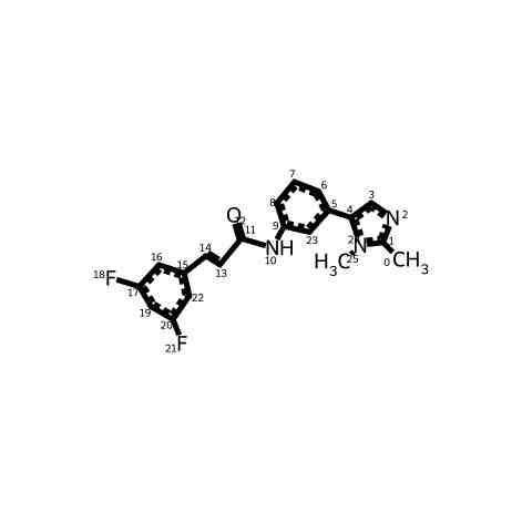 Cc1ncc(-c2cccc(NC(=O)/C=C/c3cc(F)cc(F)c3)c2)n1C